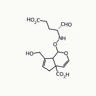 O=C[C@@H](CCC(=O)O)NOC1OC=CC2(C(=O)O)CC=C(CO)C12